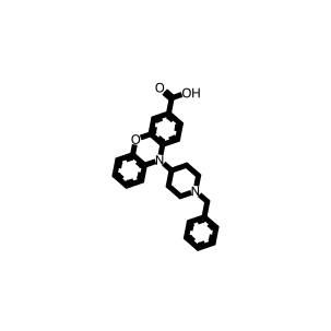 O=C(O)c1ccc2c(c1)Oc1ccccc1N2C1CCN(Cc2ccccc2)CC1